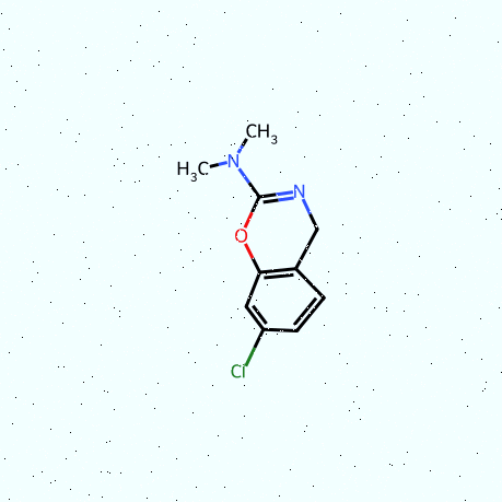 CN(C)C1=NCc2ccc(Cl)cc2O1